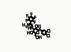 N/C(=C\NC1C(O)C(CO)OC(Sc2ccc(Cl)c(Cl)c2)C1O)c1c(F)c(F)c(F)c(F)c1F